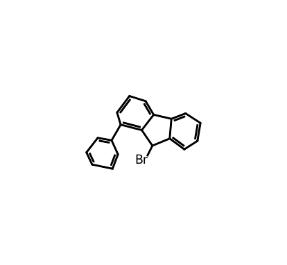 BrC1c2ccccc2-c2cccc(-c3ccccc3)c21